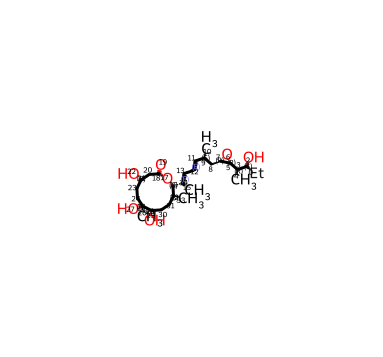 CC[C@H](O)[C@@H](C)[C@H]1O[C@@H]1C[C@H](C)/C=C/C=C(\C)[C@H]1OC(=O)C[C@H](O)CC[C@@](C)(O)[C@@H](O)CC[C@@H]1C